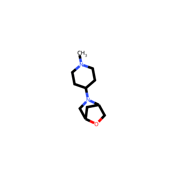 CN1CCC(N2CC3CC2CO3)CC1